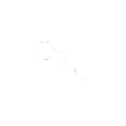 C/C=C/B1Oc2ccccc2O1